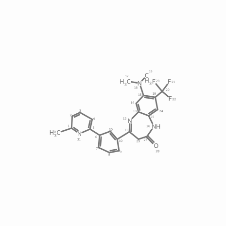 Cc1cccc(-c2cccc(C3=Nc4cc(N(C)C)c(C(F)(F)F)cc4NC(=O)C3)c2)n1